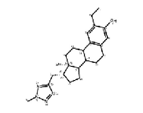 CCc1cc2c(cc1O)CCC1C2CC[C@@]2(C)C1CC[C@@H]2Cc1nnn(C)n1